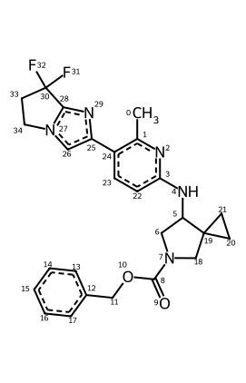 Cc1nc(NC2CN(C(=O)OCc3ccccc3)CC23CC3)ccc1-c1cn2c(n1)C(F)(F)CC2